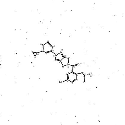 C[C@H](Oc1ccc(C#N)cc1C(=O)N1Cc2cn(-c3ccnc(C4CC4)c3)nc2C1)C(F)(F)F